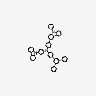 C1=Cc2c(n(-c3ccc(N(c4ccc(-c5cc(-c6ccccc6)cc(-c6ccccc6)c5)cc4)c4ccc(-c5ccc6c(c5)c5ccccc5n6-c5ccccc5)cc4)cc3)c3ccccc23)CC1